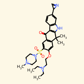 CCN(CC)CCOc1cc2c(cc1S(=O)(=O)N1CCN(C)CC1)C(=O)c1c([nH]c3cc(C4C=N4)ccc13)C2(C)C